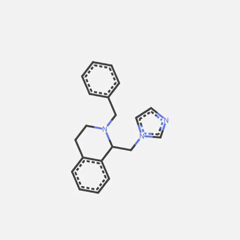 c1ccc(CN2CCc3ccccc3C2Cn2ccnc2)cc1